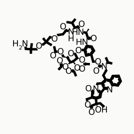 CC[C@@]1(O)C(=O)OCc2c1cc1n(c2=O)Cc2c-1nc1ccccc1c2CCN(C(=O)OCc1ccc(NC(=O)[C@H](C)NC(=O)[C@@H](NC(=O)CCOCC(C)(C)COCC(C)(C)CN)C(C)C)c(O[C@@H]2O[C@H](COC(C)=O)[C@H](OC(C)=O)[C@H](OC(C)=O)[C@H]2OC(C)=O)c1)C(C)C